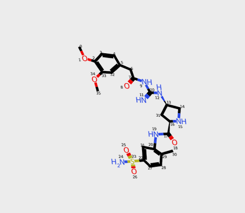 COc1ccc(CC(=O)NC(=N)N[C@H]2CN[C@@H](C(=O)Nc3cc(S(N)(=O)=O)ccc3C)C2)cc1OC